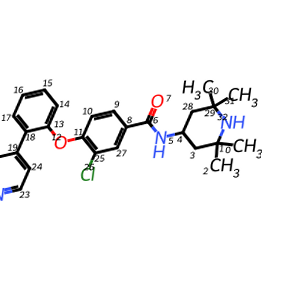 CC1(C)CC(NC(=O)c2ccc(Oc3ccccc3-c3ccncc3)c(Cl)c2)CC(C)(C)N1